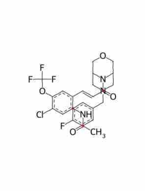 CC(=O)Nc1cc(Cl)c(OC(F)(F)F)cc1/C=C/C(=O)N1C2COCC1CN(Cc1ccc(F)cc1)C2